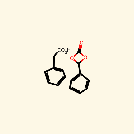 O=C(O)Cc1ccccc1.O=C1OC(c2ccccc2)O1